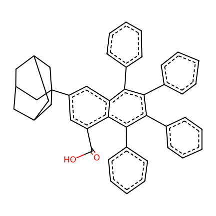 O=C(O)c1cc(C23CC4CC(CC(C4)C2)C3)cc2c(-c3ccccc3)c(-c3ccccc3)c(-c3ccccc3)c(-c3ccccc3)c12